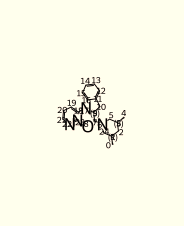 C[C@@H]1C[C@H](C)CN(C(=O)[C@@H]2Cc3ccccc3N2c2cccnn2)C1